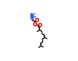 CC(C)=CCCC(C)=CCCC(C)=C1OC1OC(=O)C=[N+]=[N-]